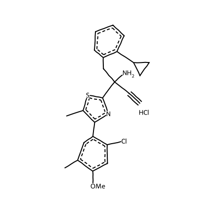 C#CC(N)(Cc1ccccc1C1CC1)c1nc(-c2cc(C)c(OC)cc2Cl)c(C)s1.Cl